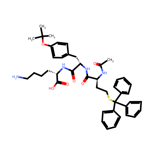 CC(=O)N[C@@H](CCSC(c1ccccc1)(c1ccccc1)c1ccccc1)C(=O)N[C@@H](Cc1ccc(OC(C)(C)C)cc1)C(=O)N[C@@H](CCCCN)C(=O)O